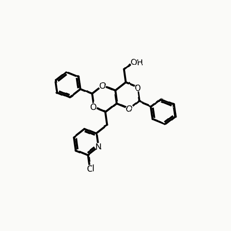 OCC1OC(c2ccccc2)OC2C(Cc3cccc(Cl)n3)OC(c3ccccc3)OC12